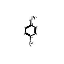 C[C](C)c1ccc(C(C)=O)cc1